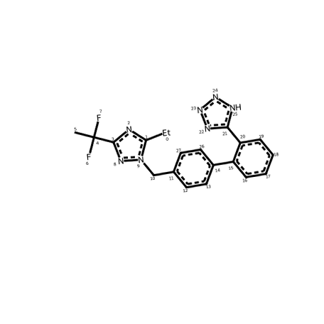 CCc1nc(C(C)(F)F)nn1Cc1ccc(-c2ccccc2-c2nnn[nH]2)cc1